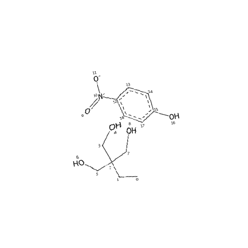 CCC(CO)(CO)CO.O=[N+]([O-])c1ccc(O)cc1